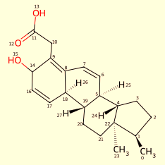 C[C@@H]1CC[C@H]2[C@@H]3C=CC4=C(CC(=O)O)C(O)C=C[C@@H]4[C@H]3CC[C@]12C